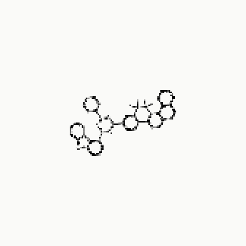 CC1(C)c2cc(-c3nc(-c4ccccc4)nc(-c4cccc5oc6ccccc6c45)n3)ccc2-c2ccc3ccc4ccccc4c3c2C1(C)C